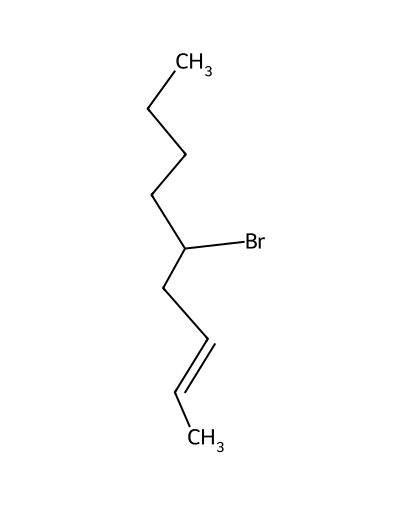 CC=CCC(Br)CCCC